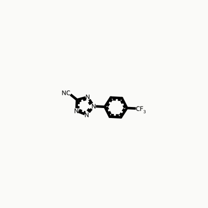 N#Cc1nnn(-c2ccc(C(F)(F)F)cc2)n1